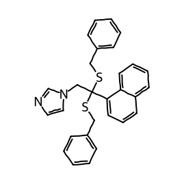 c1ccc(CSC(Cn2ccnc2)(SCc2ccccc2)c2cccc3ccccc23)cc1